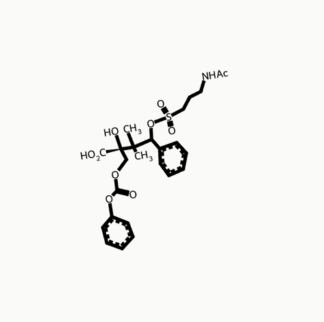 CC(=O)NCCCS(=O)(=O)OC(c1ccccc1)C(C)(C)[C@@](O)(COC(=O)Oc1ccccc1)C(=O)O